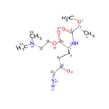 CO[C@H](C)C(=O)N[C@@H](CCC(=O)C=[N+]=[N-])C(=O)OCCN(C)C